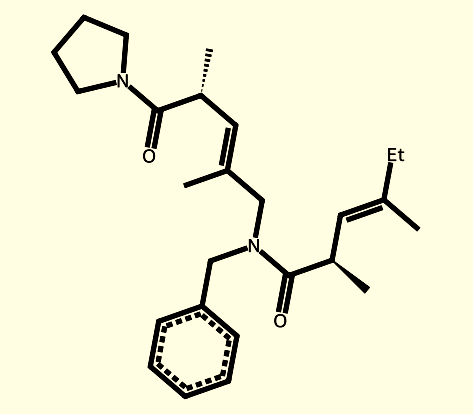 CC/C(C)=C/[C@@H](C)C(=O)N(C/C(C)=C/[C@@H](C)C(=O)N1CCCC1)Cc1ccccc1